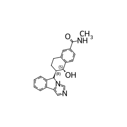 CNC(=O)c1ccc2c(c1)CC[C@H](C1c3ccccc3-c3cncn31)[C@@H]2O